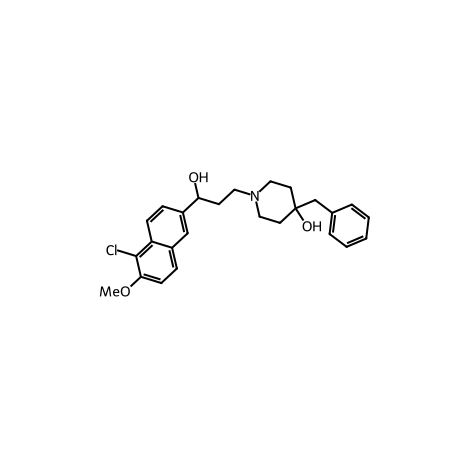 COc1ccc2cc(C(O)CCN3CCC(O)(Cc4ccccc4)CC3)ccc2c1Cl